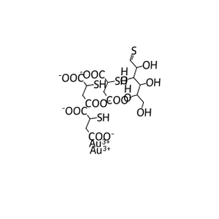 O=C([O-])CC(S)C(=O)[O-].O=C([O-])CC(S)C(=O)[O-].O=C([O-])CC(S)C(=O)[O-].OCC(O)C(O)C(O)C(O)C=S.[Au+3].[Au+3]